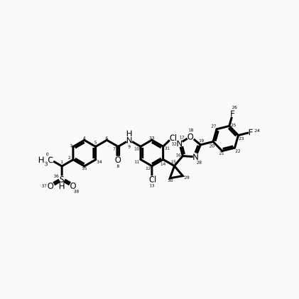 CC(c1ccc(CC(=O)Nc2cc(Cl)c(C3(c4noc(-c5ccc(F)c(F)c5)n4)CC3)c(Cl)c2)cc1)[SH](=O)=O